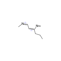 C=N/C(=C\C=N/C)CCC